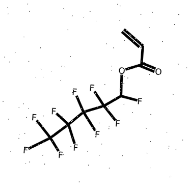 C=CC(=O)OC(F)C(F)(F)C(F)(F)C(F)(F)C(F)(F)F